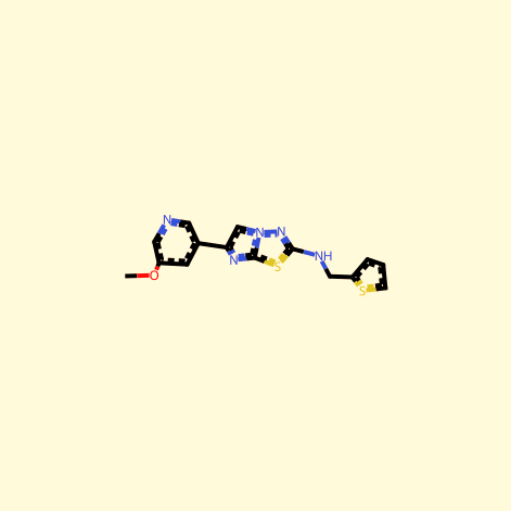 COc1cncc(-c2cn3nc(NCc4cccs4)sc3n2)c1